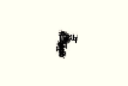 CC(C)(C=C(C#N)C(=O)N1CCC[C@@H]1COC(=O)N[C@@H](Cc1ccccc1)B(O)O)N1CCCC1